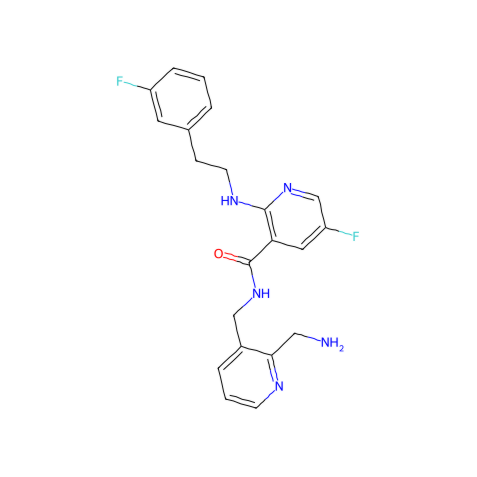 NCc1ncccc1CNC(=O)c1cc(F)cnc1NCCc1cccc(F)c1